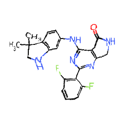 CC1(C)CNc2cc(Nc3nc(-c4c(F)cccc4F)nc4c3C(=O)NC4)ccc21